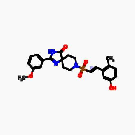 Cc1ccc(O)cc1/C=C/S(=O)(=O)N1CCC2(CC1)N=C(c1cccc(OC(F)(F)F)c1)NC2=O